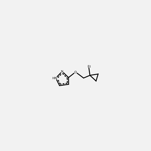 CCC1(COc2cc[nH]n2)CC1